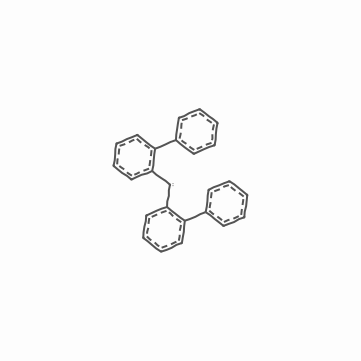 [C](c1ccccc1-c1ccccc1)c1ccccc1-c1ccccc1